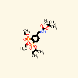 CCOP(=O)(OCC)c1cc(CNC(=O)OC(C)(C)C)ccc1P(=O)(O)OC(C)CC